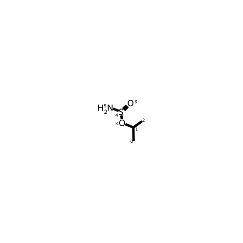 CC(C)OS(N)=O